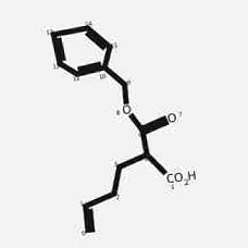 C=CCCC(C(=O)O)C(=O)OCc1ccccc1